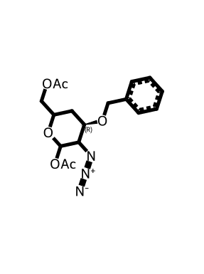 CC(=O)OCC1C[C@@H](OCc2ccccc2)C(N=[N+]=[N-])C(OC(C)=O)O1